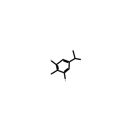 Cc1c(I)cc(C(C)C)cc1I